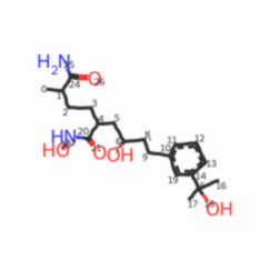 CC(CCC(CC(O)[CH]Cc1cccc(C(C)(C)O)c1)C(=O)NO)C(N)=O